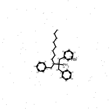 Br.CCCCCCCCC(Cc1ccccc1)C(P)(Cc1ccccc1)Cc1ccccc1